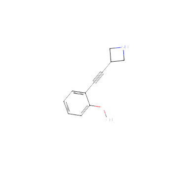 COc1ccccc1C#CC1CNC1